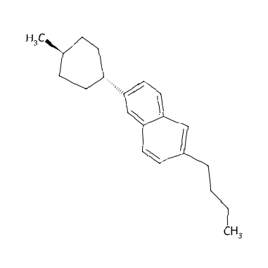 CCCCc1ccc2cc([C@H]3CC[C@H](C)CC3)ccc2c1